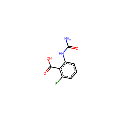 NC(=O)Nc1cccc(F)c1C(=O)O